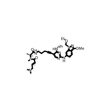 CCCNc1nc(Nc2ccc3c(OC)nn(COCC)c3c2)ncc1C#CCCCNC(=O)[C@H](C)N(C)C(=O)/C=C/CN(C)C